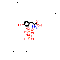 NC(Cc1ccc(O)cc1)C(=O)O.O=P(O)(O)O.O=P(O)(O)O